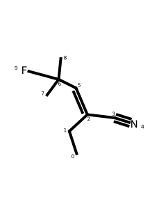 CC/C(C#N)=C\C(C)(C)F